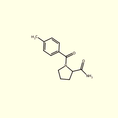 [CH2]c1ccc(C(=O)N2CCCC2C(N)=O)cc1